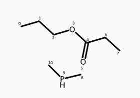 CCCOC(=O)CC.CPC